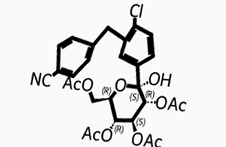 CC(=O)OC[C@H]1O[C@@](O)(c2ccc(Cl)c(Cc3ccc(C#N)cc3)c2)[C@H](OC(C)=O)[C@@H](OC(C)=O)[C@@H]1OC(C)=O